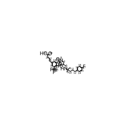 CN(CC(O)CNC(C)(C)CCCc1ccc(F)cc1)S(=O)(=O)c1cc(CCCC(=O)O)cc(C(F)(F)F)c1